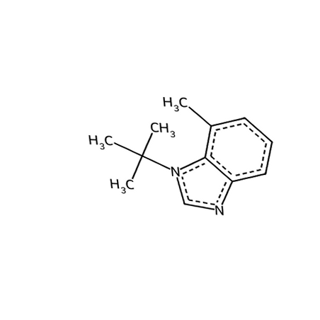 Cc1cccc2ncn(C(C)(C)C)c12